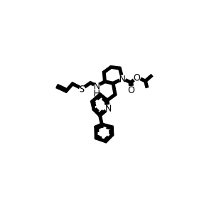 C=CCSCNC1CCCN(C(=O)OC(C)C)C1Cc1cccc(-c2ccccc2)n1